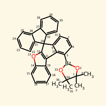 CC1(C)OB(c2cccc3c2-c2c(oc4ccccc24)C32c3ccccc3-c3ccccc32)OC1(C)C